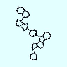 c1ccc(-n2ccc3c2ccc2c4ccccc4n(-c4ccc(-c5nc6c(-c7cccc8ccccc78)cccn6n5)cc4)c23)cc1